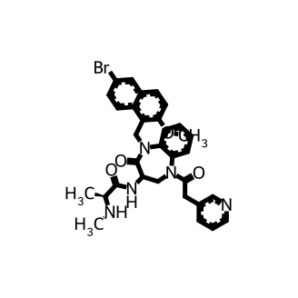 CN[C@@H](C)C(=O)NC1CN(C(=O)Cc2cccnc2)c2ccccc2N(Cc2c(OC)ccc3cc(Br)ccc23)C1=O